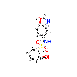 O=S(=O)(Nc1ccc2ocnc2c1)c1ccccc1O